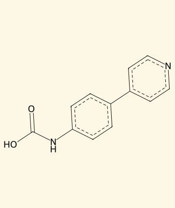 O=C(O)Nc1ccc(-c2ccncc2)cc1